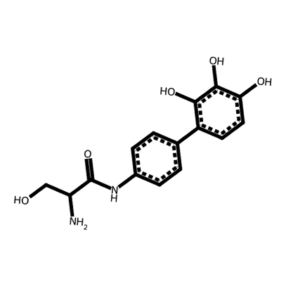 NC(CO)C(=O)Nc1ccc(-c2ccc(O)c(O)c2O)cc1